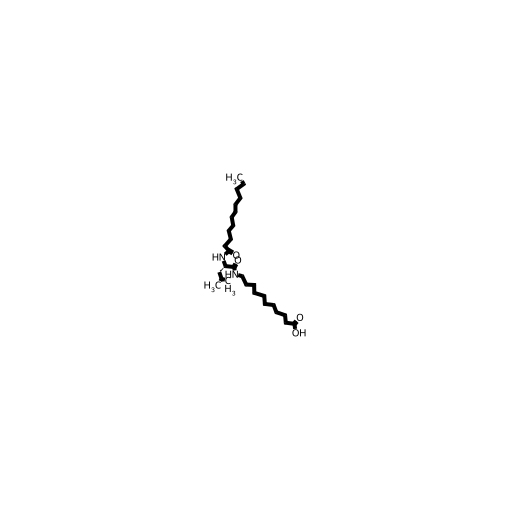 CCCCCCCCCCCC(=O)N[C@@H](CC(C)C)C(=O)NCCCCCCCCCCC(=O)O